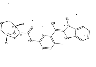 CCN1C(=C(C#N)c2nc(NC(=O)[C@@H]3O[C@@H]4CNC[C@H]3O4)ncc2C)Nc2ccccc21